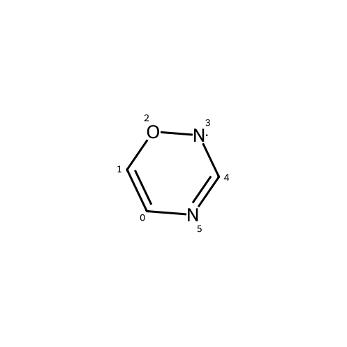 C1=CO[N]C=N1